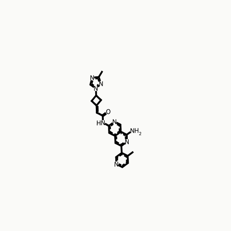 Cc1ncn(C2CC(=CC(=O)Nc3cc4cc(-c5cnccc5C)nc(N)c4cn3)C2)n1